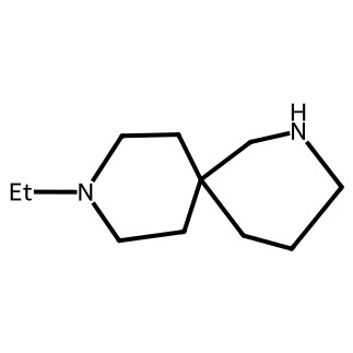 CCN1CCC2(CCCNC2)CC1